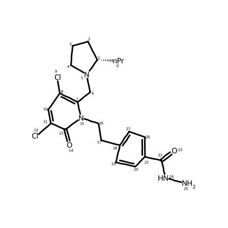 CCC[C@H]1CCCN1Cc1c(Cl)cc(Cl)c(=O)n1CCc1ccc(C(=O)NN)cc1